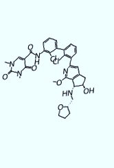 COc1nc(-c2cccc(-c3cccc(NC(=O)c4cn(C)c(=O)n(C)c4=O)c3Cl)c2Cl)cc2c1[C@@H](NC[C@@H]1CCCO1)[C@H](O)C2